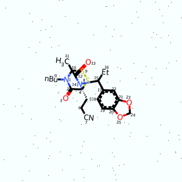 CCCCN1C(=O)[C@]2(CCC#N)SSC1(C)C(=O)N2C(CC)c1ccc2c(c1)OCO2